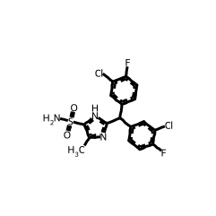 Cc1nc(C(c2ccc(F)c(Cl)c2)c2ccc(F)c(Cl)c2)[nH]c1S(N)(=O)=O